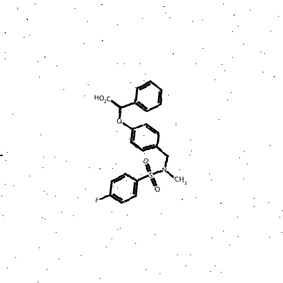 CN(Cc1ccc(OC(C(=O)O)c2ccccc2)cc1)S(=O)(=O)c1ccc(F)cc1